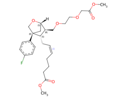 COC(=O)CCC/C=C\C[C@H]1[C@H](COCCOCC(=O)OC)[C@@H]2C[C@@]1(c1ccc(F)cc1)CO2